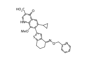 COc1c(-c2cc3c(s2)CCC/C3=N\OCc2ccccn2)c(C2CC2)cc2c(=O)c(C(=O)O)c[nH]c12